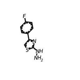 NNc1nc(-c2ccc(F)cc2)cs1